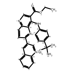 CCOC(=O)c1cnc2ccc(-c3cnc4ccccc4c3)nc2c1Nc1ccc(C(C)(C)N)cc1